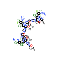 C=CC(=O)N1CCN(c2c(C#N)c(=O)n(-c3c(C)cc(/C=C\C(=O)N4CCN(c5c(C#N)c(=O)n(-c6c(C)cc(/C=C\C(=O)N7CCN(c8c(C#N)c(=O)n(-c9c(C)ccnc9C(C)C)c9nc(-c%10c(F)c(N)c(Cl)c(F)c%10Cl)c(Cl)cc89)CC7)nc6C(C)C)c6nc(-c7c(F)c(N)c(Cl)c(F)c7Cl)c(Cl)cc56)CC4)nc3C(C)C)c3nc(-c4c(F)c(N)c(Cl)c(F)c4Cl)c(Cl)cc23)CC1